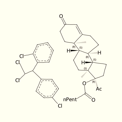 CCCCCC(=O)O[C@]1(C(C)=O)CC[C@H]2[C@@H]3CCC4=CC(=O)CC[C@]4(C)[C@H]3CC[C@@]21C.Clc1ccc(C(c2ccccc2Cl)C(Cl)Cl)cc1